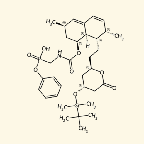 C[C@H]1C=C2C=C[C@H](C)[C@H](CC[C@@H]3C[C@@H](O[Si](C)(C)C(C)(C)C)CC(=O)O3)[C@H]2[C@@H](OC(=O)NCP(=O)(O)Oc2ccccc2)C1